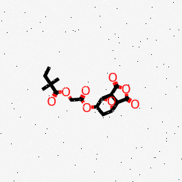 CCC(C)(C)C(=O)OCC(=O)OC1CC2OC1C1C(=O)OC(=O)C21